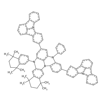 CC1(C)CCC(C)(C)c2cc(N3c4cc5c(cc4B4c6ccc(-c7ccc8c(c7)c7cccc9c%10ccccc%10n8c97)cc6N(c6ccccc6)c6cc(-c7ccc8c(c7)c7cccc9c%10ccccc%10n8c97)cc3c64)C(C)(C)CCC5(C)C)ccc21